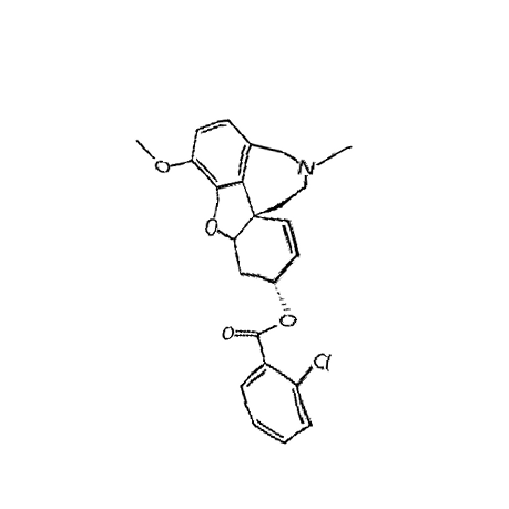 COc1ccc2c3c1OC1C[C@@H](OC(=O)c4ccccc4Cl)C=C[C@@]31CCN(C)C2